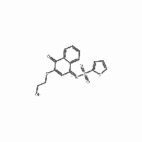 O=C1C(SCCO)=C/C(=N/S(=O)(=O)c2cccs2)c2ccccc21